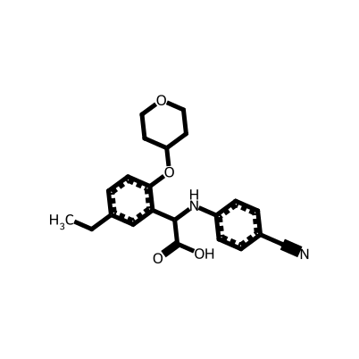 CCc1ccc(OC2CCOCC2)c(C(Nc2ccc(C#N)cc2)C(=O)O)c1